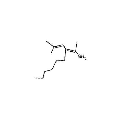 B/C(C)=C(/C=C(C)C)CCCCCC